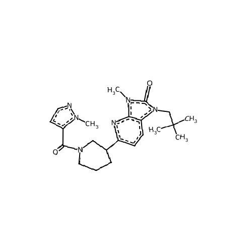 Cn1nccc1C(=O)N1CCCC(c2ccc3c(n2)n(C)c(=O)n3CC(C)(C)C)C1